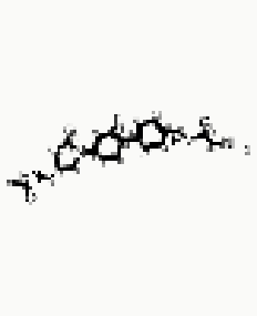 CC(=O)NC[C@H]1CN(c2ccc(-c3ccc(CNC(=O)CN)cc3)c(F)c2)C(=O)O1